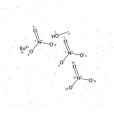 CO.O=[N+]([O-])[O-].O=[N+]([O-])[O-].O=[N+]([O-])[O-].[Eu+3]